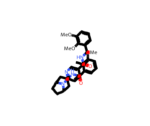 COc1cccc(C(=O)NC2CC3CCC(C2)N3c2ccc(C(=O)NCc3cccc(OC)c3OC)cn2)c1C